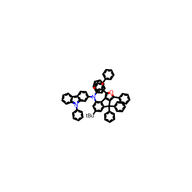 CC(C)(C)c1cc(N(c2ccc(-c3ccccc3)cc2)c2ccc3c4ccccc4n(-c4ccccc4)c3c2)c2c(c1)C(c1ccccc1)(c1ccccc1)c1c(-c3ccccc3)oc(-c3ccccc3)c1-2